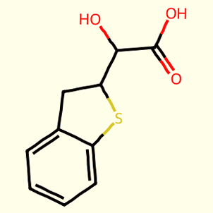 O=C(O)C(O)C1Cc2ccccc2S1